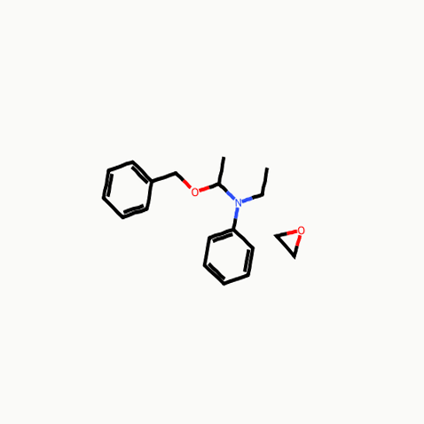 C1CO1.CCN(c1ccccc1)C(C)OCc1ccccc1